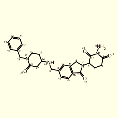 NN1C(=O)CCC(N2Cc3cc(CNC4CCN(Cc5ccccc5)C(=O)C4)ccc3C2=O)C1=O